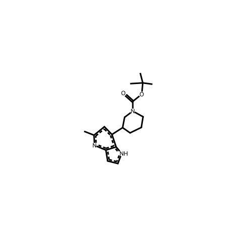 Cc1cc(C2CCCN(C(=O)OC(C)(C)C)C2)c2[nH]ccc2n1